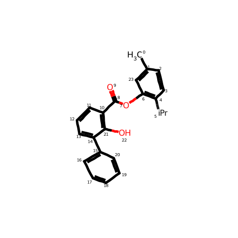 Cc1ccc(C(C)C)c(OC(=O)c2cccc(-c3ccccc3)c2O)c1